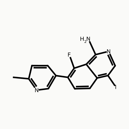 Cc1ccc(-c2ccc3c(I)cnc(N)c3c2F)cn1